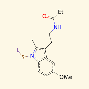 CCC(=O)NCCc1c(C)n(SI)c2ccc(OC)cc12